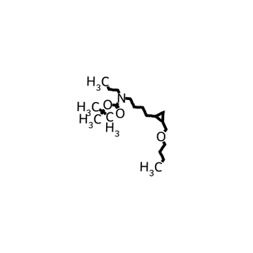 CCCCOCC1CC1CCCCN(CCC)C(=O)OC(C)(C)C